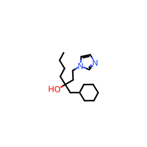 CCCCC(O)(CCn1ccnc1)CC1CCCCC1